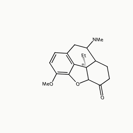 CC[C@@]12c3c4ccc(OC)c3OC1C(=O)CCC2C(NC)C4